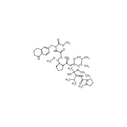 CC[C@H](C)[C@@H]([C@@H](CC(=O)N1CCC[C@H]1[C@H](OC)[C@@H](C)C(=O)NC(Cc1ccc2c(c1)CCCN2)C(=O)OC)OC)N(C)C(C)(O)[C@@H](NC(=O)[C@@]1(C)CCCN1C)C(C)C